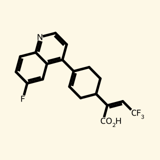 O=C(O)C(=CC(F)(F)F)C1CC=C(c2ccnc3ccc(F)cc23)CC1